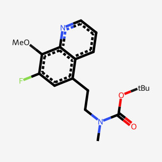 COc1c(F)cc(CCN(C)C(=O)OC(C)(C)C)c2cccnc12